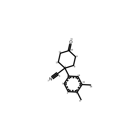 Cc1ccc(C2(C#N)CCC(=O)CC2)cc1C